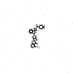 Cc1ncnc(C)c1C(=O)N1CC2CN(CCC3(c4ccccc4)CN(C(=O)C4CCC(F)(F)CC4)C3)CC2C1